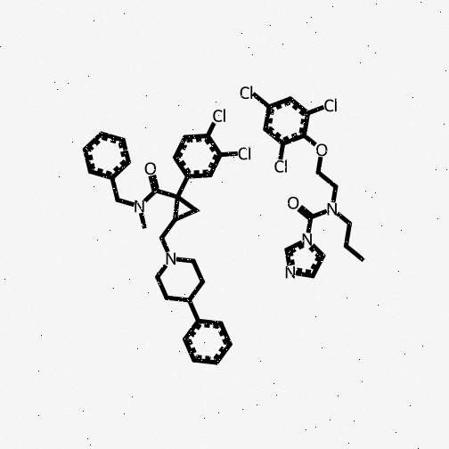 CCCN(CCOc1c(Cl)cc(Cl)cc1Cl)C(=O)n1ccnc1.CN(Cc1ccccc1)C(=O)C1(c2ccc(Cl)c(Cl)c2)CC1CN1CCC(c2ccccc2)CC1